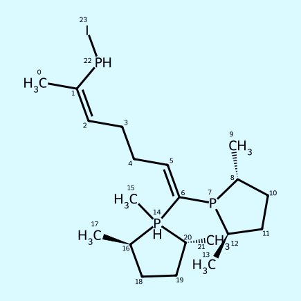 C/C(=C/CC/C=C(/P1[C@H](C)CC[C@H]1C)[PH]1(C)[C@H](C)CC[C@H]1C)PI